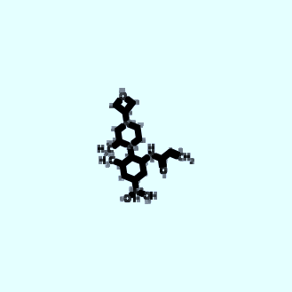 C=CC(=O)NC1CC([NH+]([O-])O)CC(C)C1N1CCN(C2COC2)CC1C